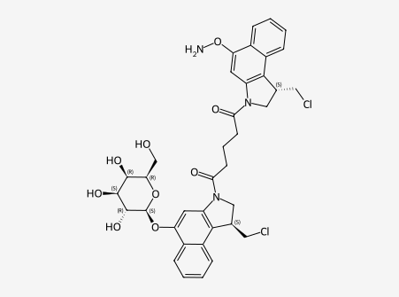 NOc1cc2c(c3ccccc13)[C@H](CCl)CN2C(=O)CCCC(=O)N1C[C@@H](CCl)c2c1cc(O[C@@H]1O[C@H](CO)[C@H](O)[C@H](O)[C@H]1O)c1ccccc21